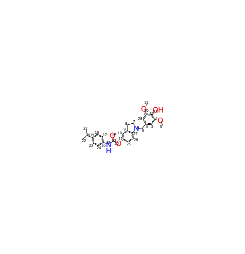 COc1cc(CN2CCc3cc(OC(=O)Nc4ccc(C(C)C)cc4)ccc32)cc(OC)c1O